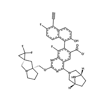 C#Cc1c(F)ccc2c(-c3c([N+](=O)[O-])cc4c(N5C[C@H]6CC[C@@H](C5)N6)nc(OC[C@]56CCCN5C[C@@]5(CC5(F)F)C6)nc4c3F)c(O)ccc12